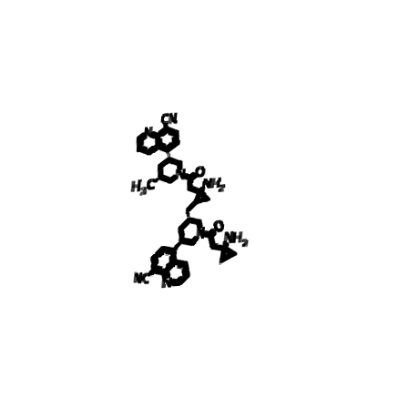 C[C@@H]1C[C@H](c2ccc(C#N)c3ncccc23)CN(C(=O)CC2(N)CC2C[C@H]2C[C@H](c3ccc(C#N)c4ncccc34)CN(C(=O)CC3(N)CC3)C2)C1